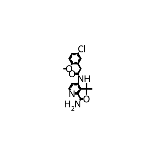 COc1ccc(Cl)cc1CC(=O)Nc1ccnc(C(N)=O)c1C(C)(C)C